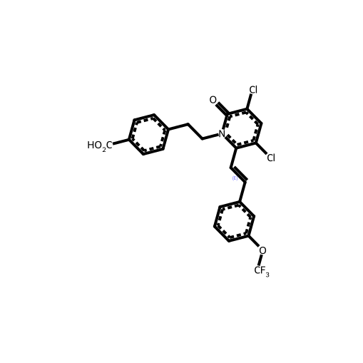 O=C(O)c1ccc(CCn2c(/C=C/c3cccc(OC(F)(F)F)c3)c(Cl)cc(Cl)c2=O)cc1